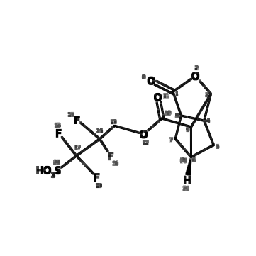 O=C1OC2C3C[C@H](CC13)C2C(=O)OCC(F)(F)C(F)(F)S(=O)(=O)O